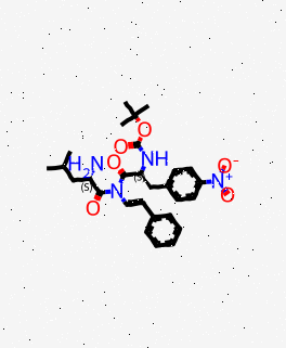 CC(C)C[C@H](N)C(=O)N(C=Cc1ccccc1)C(=O)[C@H](Cc1ccc([N+](=O)[O-])cc1)NC(=O)OC(C)(C)C